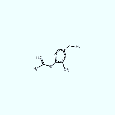 C=C(C)Sc1ccc(CC)cc1C